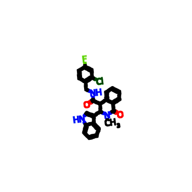 CN1C(=O)c2ccccc2C(C(=O)NCc2ccc(F)cc2Cl)C1c1c[nH]c2ccccc12